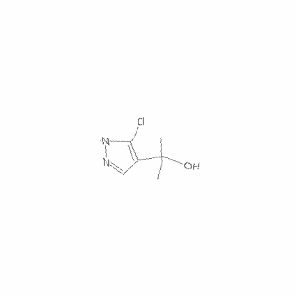 CC(C)(O)C1=C(Cl)[N]N=C1